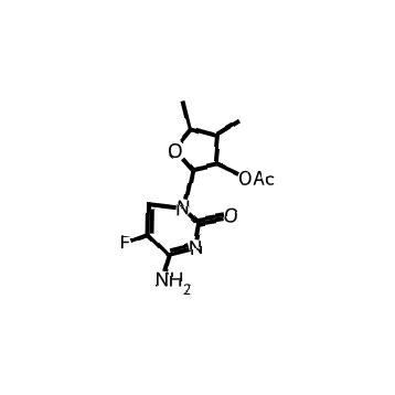 CC(=O)OC1C(C)C(C)OC1n1cc(F)c(N)nc1=O